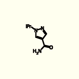 CC(C)n1cc(C(N)=O)cn1